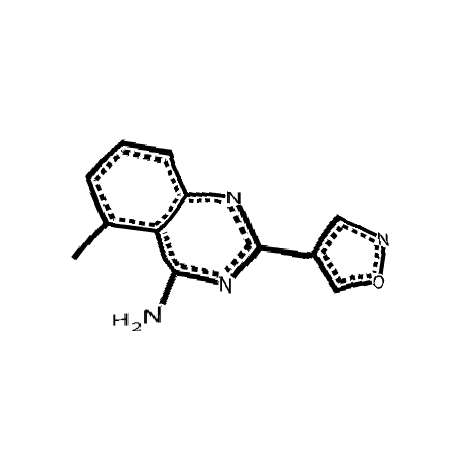 Cc1cccc2nc(-c3cnoc3)nc(N)c12